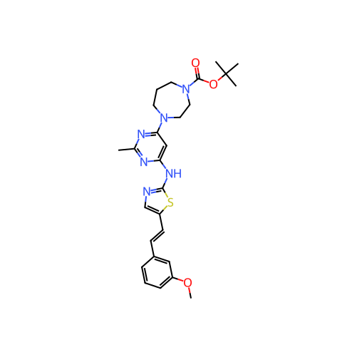 COc1cccc(C=Cc2cnc(Nc3cc(N4CCCN(C(=O)OC(C)(C)C)CC4)nc(C)n3)s2)c1